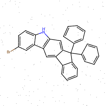 Brc1ccc2[nH]c3cc4c(cc3c2c1)-c1ccccc1C4(c1ccccc1)c1ccccc1